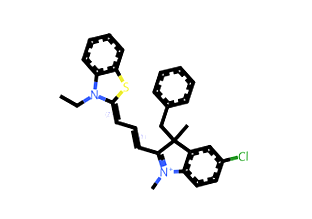 CCN1/C(=C/C=C/C2=[N+](C)c3ccc(Cl)cc3C2(C)Cc2ccccc2)Sc2ccccc21